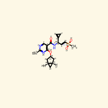 CC(C)(C)c1ncc(C(=O)N[C@H](/C=C/S(C)(=O)=O)C2=CC2)c(O[C@H]2C[C@@H]3C[C@@H]3C2)n1